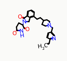 C=Cc1ccc(CN2CCC(CCc3cccc4c3CN(C3CCC(=O)NC3=O)C4=O)CC2)cn1